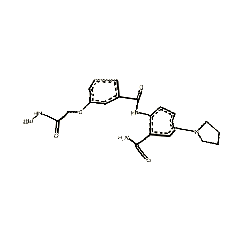 CC(C)(C)NC(=O)COc1cccc(C(=O)Nc2ccc(N3CCCC3)cc2C(N)=O)c1